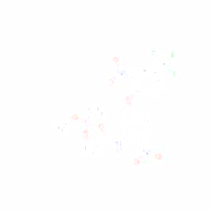 COP(C)(=O)OC(C)Nc1cc(Oc2ccc(C(F)(F)F)cc2[N+](=O)[O-])ccc1[N+](=O)[O-]